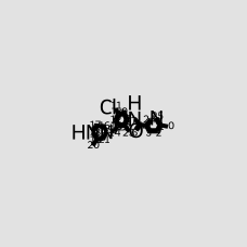 Cc1ccc(C(=O)Nc2cc(Cl)cc(CN3CCNC(C)C3)c2C)cn1